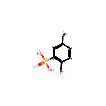 CCCc1ccc(CC)c(P(=O)(O)O)c1